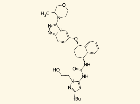 CC1COCCN1c1nnc2ccc(O[C@@H]3CC[C@H](NC(=O)Nc4cc(C(C)(C)C)nn4CCO)c4ccccc43)cn12